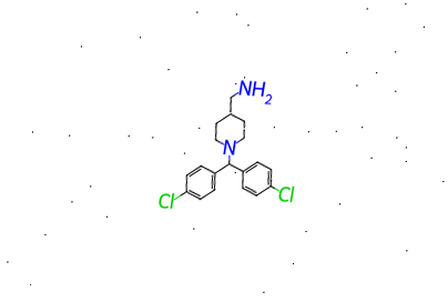 NCC1CCN(C(c2ccc(Cl)cc2)c2ccc(Cl)cc2)CC1